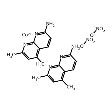 Cc1cc(C)c2ccc(N)nc2n1.Cc1cc(C)c2ccc(N)nc2n1.O=[N+]([O-])[O-].O=[N+]([O-])[O-].[Co+2]